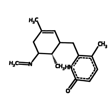 C=NC1CC(C)=CC(Cc2[nH]c(=O)ccc2C)[C@@H]1C